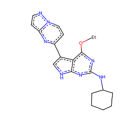 CCOc1nc(NC2CCCCC2)nc2[nH]cc(-c3ccn4nccc4n3)c12